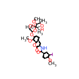 COc1ccc(C(=O)Nc2cc3ccc(OC(CO)OC(C)(C)C(OC)C(C)O)c(OC)c3oc2=O)cc1I